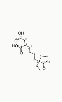 CCC(CC)(CCCSC(CC(=O)O)C(=O)O)C(C)=O